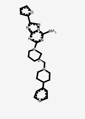 Nc1nc(N2CCC[C@H](CN3CCC(c4ccncc4)CC3)C2)nc2nc(-c3ccco3)nn12